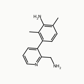 Cc1ccc(-c2cccnc2CN)c(C)c1N